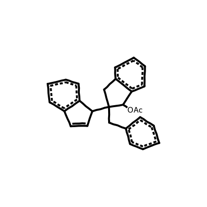 CC(=O)OC1c2ccccc2CC1(Cc1ccccc1)C1C=Cc2ccccc21